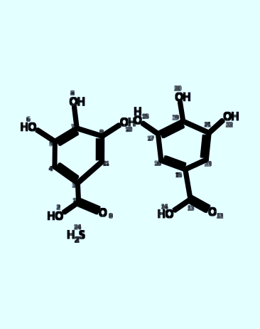 O=C(O)c1cc(O)c(O)c(O)c1.O=C(O)c1cc(O)c(O)c(O)c1.S